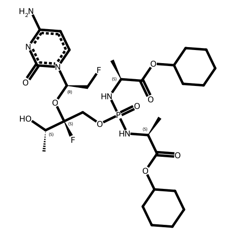 C[C@H](NP(=O)(N[C@@H](C)C(=O)OC1CCCCC1)OC[C@@](F)(O[C@H](CF)n1ccc(N)nc1=O)[C@H](C)O)C(=O)OC1CCCCC1